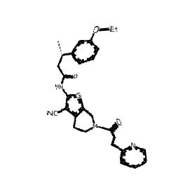 CCOc1cccc([C@@H](C)CC(=O)Nc2sc3c(c2C#N)CCN(C(=O)Cc2ccccn2)C3)c1